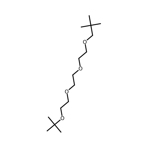 CC(C)(C)COCCOCCOCCOC(C)(C)C